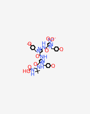 COc1ccc(Cn2nc(NC(=O)c3cc([N+](=O)[O-])nn3Cc3ccc(OC)cc3)cc2C(=O)Nc2cc(C(=O)NC(CNC(=O)O)C(C)(C)C)n(Cc3ccc(OC)cc3)n2)cc1